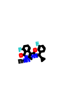 CCNn1c(C)c(C(=O)N[C@H](c2cccc(F)c2)C2CC2)c2cccc(F)c2c1=O